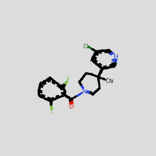 N#CC1(c2cncc(Cl)c2)CCN(C(=O)c2c(F)cccc2F)CC1